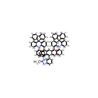 Cc1nc2cccc(-c3c4cccc(-c5cccc6c5N(c5ccccc5)c5ccccc5C6(c5ccccc5)c5ccccc5)c4cc4c(-c5cccc6c5N(c5ccccc5)c5ccccc5C6(c5ccccc5)c5ccccc5)cccc34)c2n1-c1ccccc1